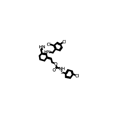 N=CC1=C(NCc2ccc(Cl)cc2Cl)/C(=C/COC(=O)NSc2ccc(Cl)cc2)CCC1